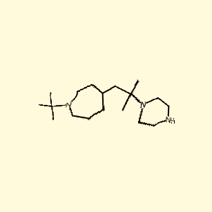 CC(C)(C)N1CCCC(CC(C)(C)N2CCNCC2)CC1